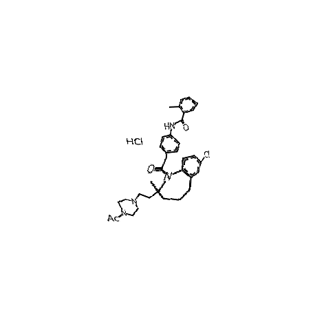 CC(=O)N1CCN(CCC2(C)CCCc3cc(Cl)ccc3N2C(=O)c2ccc(NC(=O)c3ccccc3C)cc2)CC1.Cl